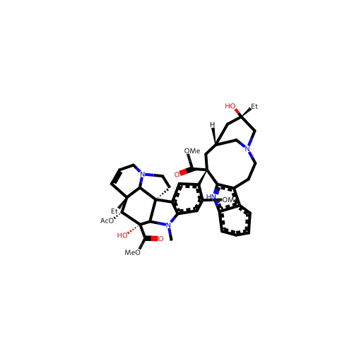 CC[C@]1(O)C[C@@H]2CN(CCc3c([nH]c4ccccc34)[C@@](C(=O)OC)(c3cc4c(cc3OC)N(C)C3[C@]45CCN4CC=C[C@](CC)(C45)[C@@H](OC(C)=O)[C@]3(O)C(=O)OC)C2)C1